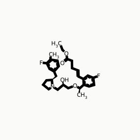 CCOC(=O)CC/C=C/c1cc(F)ccc1[C@@H](C)OC[C@H](O)CN1CCC[C@H]1Cc1ccc(C)c(F)c1